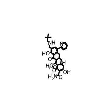 CC(C)(C)CNCc1cc(-c2ccccn2)c2c(c1O)C(=O)C1=C(O)C3(O)C(=O)C(C(N)=O)=C(O)C[C@@H]3CC1C2